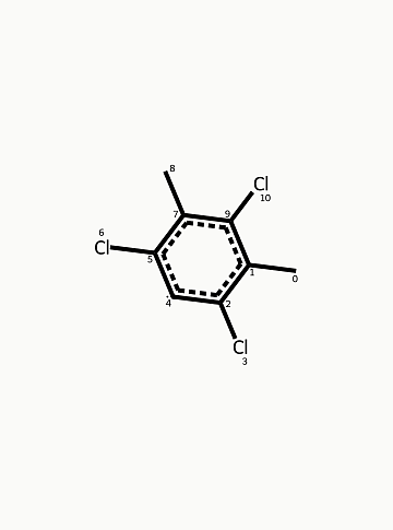 Cc1c(Cl)[c]c(Cl)c(C)c1Cl